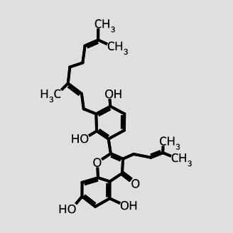 CC(C)=CCC/C(C)=C/Cc1c(O)ccc(-c2oc3cc(O)cc(O)c3c(=O)c2CC=C(C)C)c1O